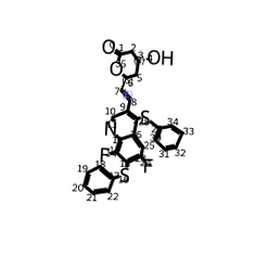 O=C1C[C@H](O)C[C@@H](/C=C/c2cnc3c(F)c(Sc4ccccc4)c(F)cc3c2Sc2ccccc2)O1